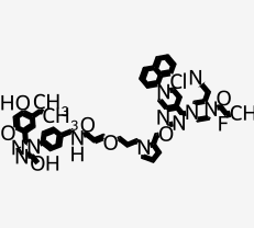 C=C(F)C(=O)N1CCN(c2nc(OCC3CCCN3CCCOC=CC(=O)NCc3ccc(-n4c(O)nnc4-c4cc(C(C)C)c(O)cc4O)cc3)nc3c2CCN(c2cccc4cccc(Cl)c24)C3)CC1CC#N